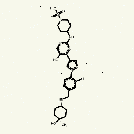 CS(=O)(=O)N1CCC(Nc2ncc(C#N)c(-c3cnn(-c4ccc(CN[C@H]5CC[C@](C)(O)CC5)cc4Cl)c3)n2)CC1